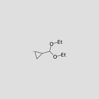 CCOC(OCC)C1[CH]C1